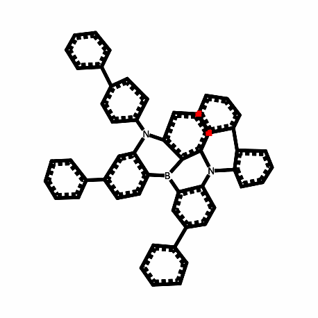 c1ccc(-c2ccc(N3c4cc(-c5ccccc5)ccc4B4c5cc(-c6ccccc6)ccc5N(c5ccccc5-c5ccccc5)c5cccc3c54)cc2)cc1